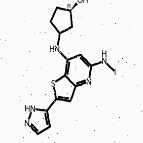 O[C@@H]1CCC(Nc2cc(NI)nc3cc(-c4ccn[nH]4)sc23)C1